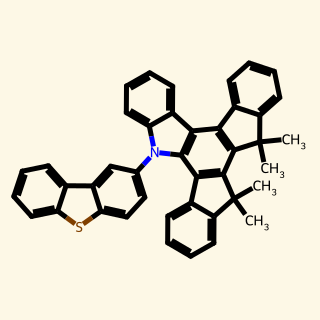 CC1(C)c2ccccc2-c2c1c1c(c3c2c2ccccc2n3-c2ccc3sc4ccccc4c3c2)-c2ccccc2C1(C)C